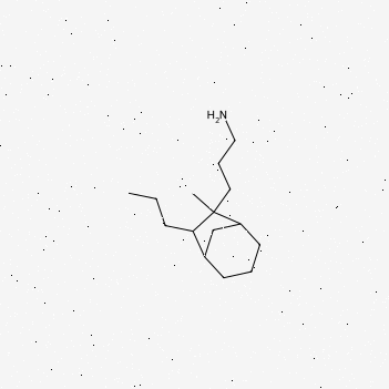 CCCC1C2CCCC(C2)C1(C)CCCN